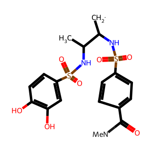 [CH2]C(NS(=O)(=O)c1ccc(C(=O)NC)cc1)C(C)NS(=O)(=O)c1ccc(O)c(O)c1